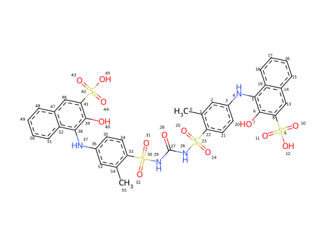 Cc1cc(Nc2c(O)c(S(=O)(=O)O)cc3ccccc23)ccc1S(=O)(=O)NC(=O)NS(=O)(=O)c1ccc(Nc2c(O)c(S(=O)(=O)O)cc3ccccc23)cc1C